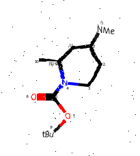 CNC1CCN(C(=O)OC(C)(C)C)[C@@H](C)C1